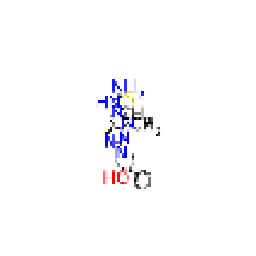 CN(C)c1nc(N2CCC(O)(c3ccccc3)CC2)ncc1C=NNC(N)=S